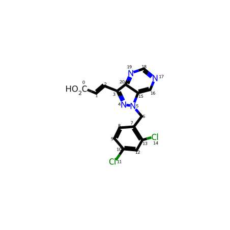 O=C(O)C=Cc1nn(Cc2ccc(Cl)cc2Cl)c2cncnc12